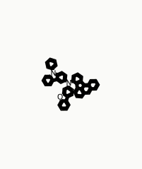 c1ccc(-n2c3ccccc3c3cc(N(c4ccc5c(c4)oc4ccccc45)c4cccc5c4-c4cccc6cc7ccccc7c-5c46)ccc32)cc1